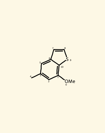 COc1cc(C)cc2ccsc12